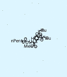 CCCCCOC(=O)OCCN[C@@H](Cc1ccc(OC(=O)CC(C)CC)c(OC(=O)CC(C)CC)c1)C(=O)OC